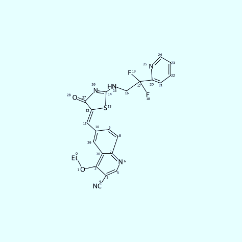 CCOc1c(C#N)cnc2ccc(/C=C3\SC(NCC(F)(F)c4ccccn4)=NC3=O)cc12